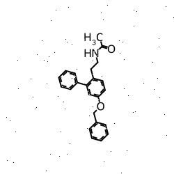 CC(=O)NCCc1ccc(OCc2ccccc2)cc1-c1ccccc1